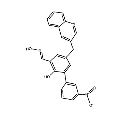 O=[N+]([O-])c1cccc(-c2cc(Cc3cnc4ccccc4c3)cc(C=NO)c2O)c1